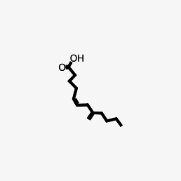 C=C(C/C=C\CCCC(=O)O)CCCC